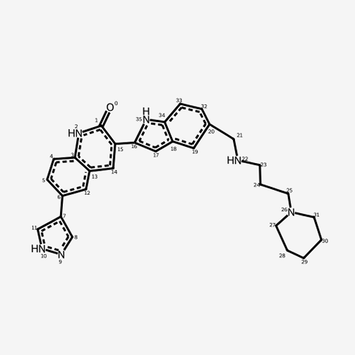 O=c1[nH]c2ccc(-c3cn[nH]c3)cc2cc1-c1cc2cc(CNCCCN3CCCCC3)ccc2[nH]1